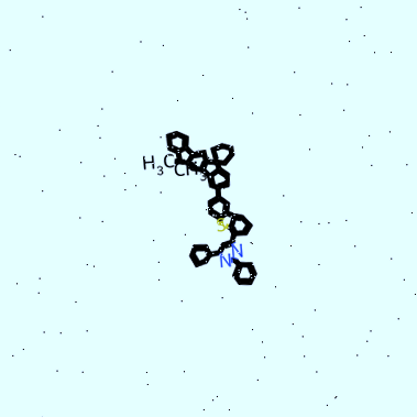 CC1(C)c2ccccc2-c2cc3c(cc21)-c1cc(-c2ccc4sc5c(-c6cc(C7C=CC=CC7)nc(-c7ccccc7)n6)cccc5c4c2)ccc1C31CCCCC1